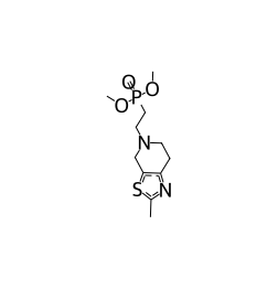 COP(=O)(CCN1CCc2nc(C)sc2C1)OC